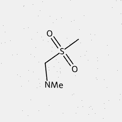 CNCS(C)(=O)=O